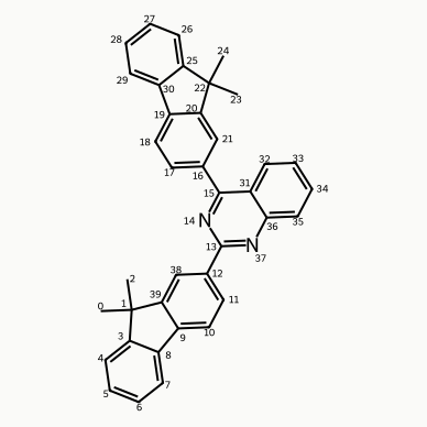 CC1(C)c2ccccc2-c2ccc(-c3nc(-c4ccc5c(c4)C(C)(C)c4ccccc4-5)c4ccccc4n3)cc21